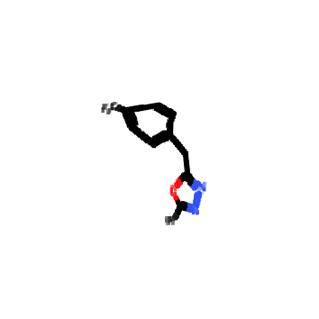 CC(C)c1nnc(Cc2ccc(C(F)(F)F)cc2)o1